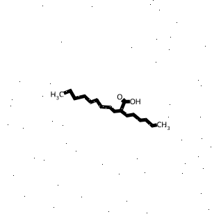 CCCCCCCCCC(CCCCCC)C(=O)O